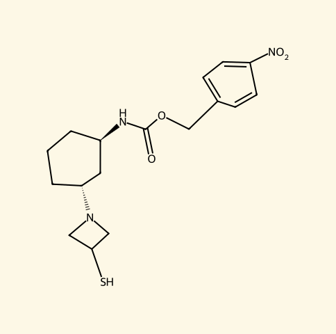 O=C(N[C@@H]1CCC[C@@H](N2CC(S)C2)C1)OCc1ccc([N+](=O)[O-])cc1